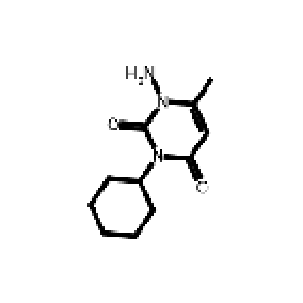 Cc1cc(=O)n(C2CCCCC2)c(=O)n1N